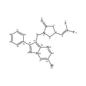 O=C1CC(C=C(F)F)CN1Cc1c(-c2ccccc2)nn2cc(Br)cnc12